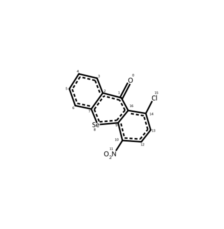 O=c1c2ccccc2[se]c2c([N+](=O)[O-])ccc(Cl)c12